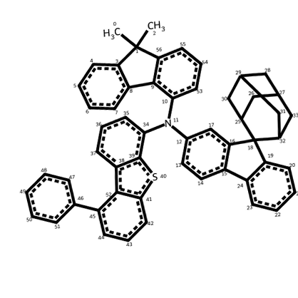 CC1(C)c2ccccc2-c2c(N(c3ccc4c(c3)C3(c5ccccc5-4)C4CC5CC(C4)CC3C5)c3cccc4c3sc3cccc(-c5ccccc5)c34)cccc21